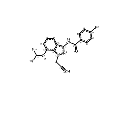 C#CCn1nc(NC(=O)c2ccc(F)cc2)c2cccc(OC(F)F)c21